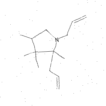 C=CCN1CC(C)C(C)(C)C1(C)CC=C